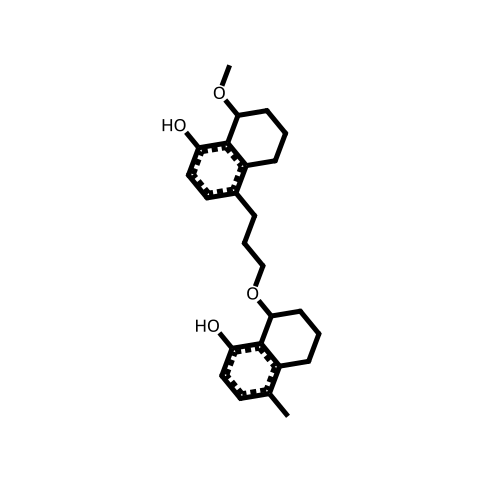 COC1CCCc2c(CCCOC3CCCc4c(C)ccc(O)c43)ccc(O)c21